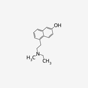 CCN(C)CCc1cccc2cc(O)ccc12